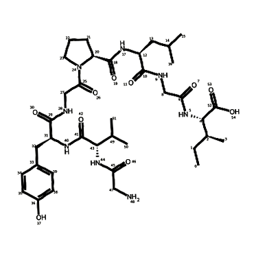 CC[C@H](C)[C@H](NC(=O)CNC(=O)[C@H](CC(C)C)NC(=O)[C@@H]1CCCN1C(=O)CNC(=O)[C@H](Cc1ccc(O)cc1)NC(=O)[C@@H](NC(=O)CN)C(C)C)C(=O)O